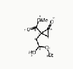 CCOC(O)CC1(C(=O)OC)CC1=O